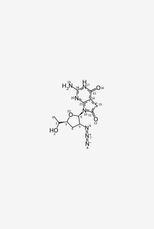 CC(O)[C@@H]1CC(N=[N+]=[N-])[C@H](n2c(=O)sc3c(=O)[nH]c(N)nc32)O1